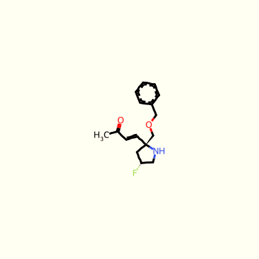 CC(=O)/C=C/[C@@]1(COCc2ccccc2)C[C@@H](F)CN1